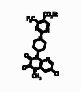 CCOC(=O)c1cnc(N2CCC(n3c(=O)c(=O)n(C)c4cc(Cl)cnc43)CC2)nc1C(F)(F)F